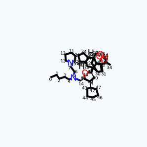 CCCCCN(CCN1CCCCC1)C[C@@H]1O[C@@H](C23C[C@@H]4[C@H](C)CC[C@H]4C4(C=O)CC2C=C(C(C)C)[C@]43C(=O)O)C[C@H]1C1CCCCC1